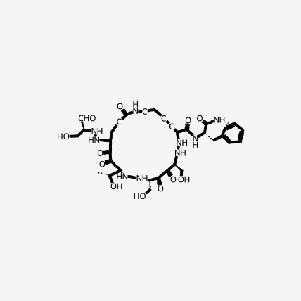 C[C@@H](O)[C@@H]1NN[C@@H](CO)C(=O)C(=O)[C@H](CO)NNC(C(=O)N[C@@H](Cc2ccccc2)C(N)=O)CCCCNC(=O)CCC(NN[C@H](C=O)CO)C(=O)C1=O